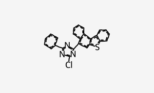 Clc1nc(-c2ccccc2)nc(-c2cc3sc4ccccc4c3c3ccccc23)n1